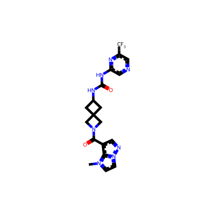 Cn1ccn2ncc(C(=O)N3CC4(CC(NC(=O)Nc5cncc(C(F)(F)F)n5)C4)C3)c12